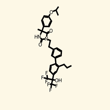 CCCc1cc(C(O)(C(F)(F)F)C(F)(F)F)ccc1-c1cccc(CCN2C(=O)NC(C)(c3ccc(OC(C)C)cc3)C2=O)c1